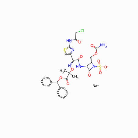 CC(C)(ON=C(C(=O)N[C@@H]1C(=O)N(S(=O)(=O)[O-])[C@@H]1COC(N)=O)c1csc(NC(=O)CCl)n1)C(=O)OC(c1ccccc1)c1ccccc1.[Na+]